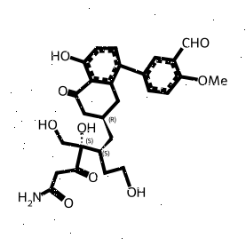 COc1ccc(-c2ccc(O)c3c2C[C@@H](C[C@@H](CCO)[C@](O)(CO)C(=O)CC(N)=O)CC3=O)cc1C=O